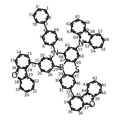 c1ccc(-c2ccc(N3c4cc(-c5cccc6oc7ccccc7c56)ccc4B4c5ccc(-c6cccc7oc8ccccc8c67)cc5Sc5cc(-n6c7ccccc7c7ccccc76)cc3c54)cc2)cc1